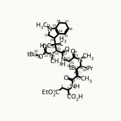 CCOC(=O)CC(NC(=O)/C(C)=C/[C@H](C(C)C)N(C)C(=O)[C@@H](NC(=O)[C@@H](N(C)C(=O)OC(C)(C)C)C(C)(C)C1CN(C)C2=C1C=CCC2)C(C)(C)C)C(=O)O